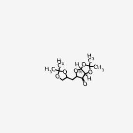 CC1(C)OCC(CC2O[C@@H]3OC(C)(C)O[C@@H]3C2=O)O1